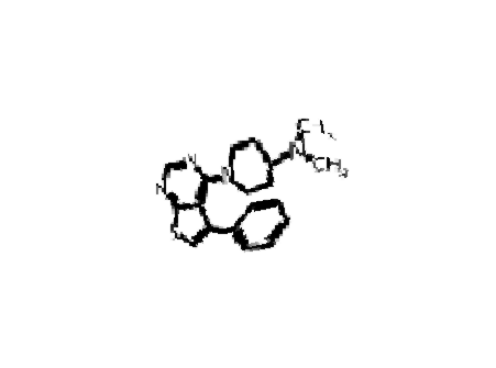 CN(C)C1CCN(c2ncnc3scc(-c4ccccc4)c23)CC1